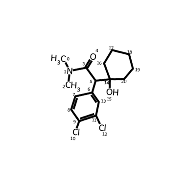 CN(C)C(=O)C(c1ccc(Cl)c(Cl)c1)C1(O)CCCCC1